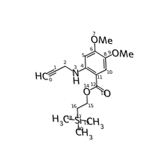 C#CCNc1cc(OC)c(OC)cc1C(=O)OCC[Si](C)(C)C